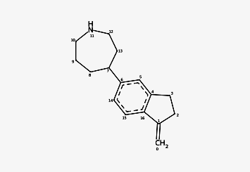 C=C1CCc2cc(C3CCCNCC3)ccc21